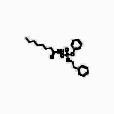 CCCCCCCC(=O)NOP(=O)(OCCc1ccccc1)Oc1ccccc1